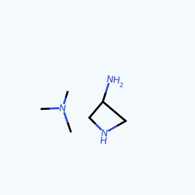 CN(C)C.NC1CNC1